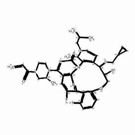 C=CC(=O)N1CCN(c2nc(=O)n3c4nc(c(F)cc24)-c2c(F)cccc2OCC(O)C(OCC2CC2)C2=C3[C@@H](C)N(CC(C)C)C=C2)[C@@H](C)C1